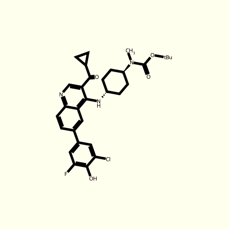 CN(C(=O)OC(C)(C)C)[C@H]1CC[C@H](Nc2c(C(=O)C3CC3)cnc3ccc(-c4cc(F)c(O)c(Cl)c4)cc23)CC1